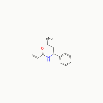 C=CC(=O)NC(CCCCCCCCCCC)c1ccccc1